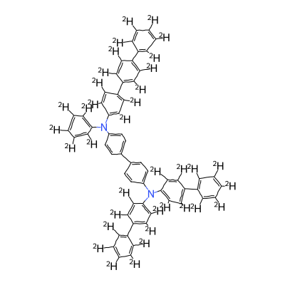 [2H]c1c([2H])c([2H])c(-c2c([2H])c([2H])c(-c3c([2H])c([2H])c(N(c4ccc(-c5ccc(N(c6c([2H])c([2H])c(-c7c([2H])c([2H])c([2H])c([2H])c7[2H])c([2H])c6[2H])c6c([2H])c([2H])c(-c7c([2H])c([2H])c([2H])c([2H])c7[2H])c([2H])c6[2H])cc5)cc4)c4c([2H])c([2H])c([2H])c([2H])c4[2H])c([2H])c3[2H])c([2H])c2[2H])c([2H])c1[2H]